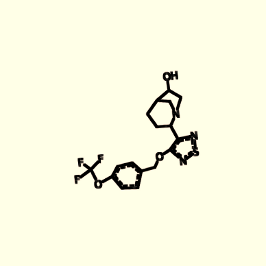 OC1CN2CC1CCC2c1nsnc1OCc1ccc(OC(F)(F)F)cc1